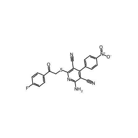 N#Cc1c(N)nc(SCC(=O)c2ccc(F)cc2)c(C#N)c1-c1ccc([N+](=O)[O-])cc1